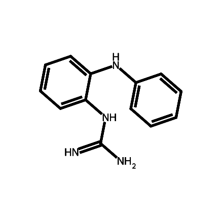 N=C(N)Nc1ccccc1Nc1ccccc1